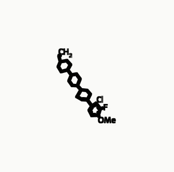 C=CC1CCC(C2CCC(C3CC=C(c4ccc(OC)c(F)c4Cl)CC3)CC2)CC1